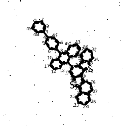 c1ccc(-c2ccc(-c3c4ccccc4c(-c4cc5sc6c7ccccc7ccc6c5c5sc6ccccc6c45)c4ccccc34)cc2)cc1